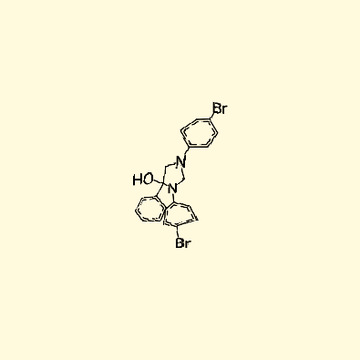 OC1(c2ccccc2)CN(c2ccc(Br)cc2)CN1c1ccc(Br)cc1